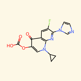 O=C(O)Oc1cn(C2CC2)c2nc(-n3ccnc3)c(F)cc2c1=O